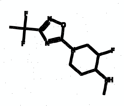 CNC1CCN(c2nc(C(C)(F)F)no2)CC1F